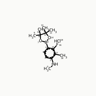 CNc1ccc(B2OC(C)(C)C(C)(C)O2)c(F)c1C.Cl